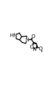 COc1cc(C(=O)N2CCC3CNCC3C2)on1